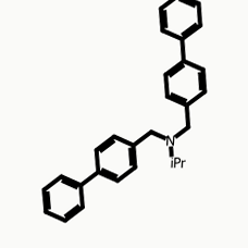 CC(C)N(Cc1ccc(-c2ccccc2)cc1)Cc1ccc(-c2ccccc2)cc1